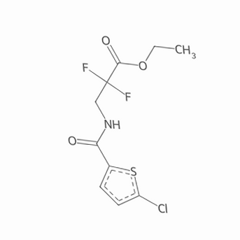 CCOC(=O)C(F)(F)CNC(=O)c1ccc(Cl)s1